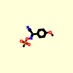 COc1ccc(/C(C#N)=N/OS(C)(=O)=O)cc1